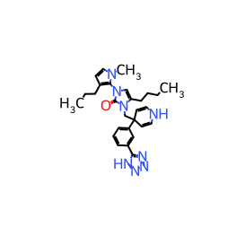 CCCCc1cn(-c2c(CCC)ccn2C)c(=O)n1CC1(c2cccc(-c3nnn[nH]3)c2)C=CNC=C1